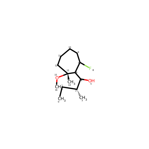 CC[C@@H](C)C(O)C1C(F)CCCC[C@@]1(C)OC